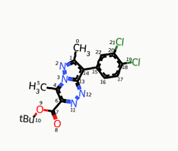 Cc1nn2c(C)c(C(=O)OC(C)(C)C)nnc2c1-c1ccc(Cl)c(Cl)c1